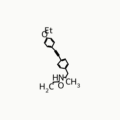 C=CC(=O)NC(C)Cc1ccc(C#Cc2ccc(OCC)cc2)cc1